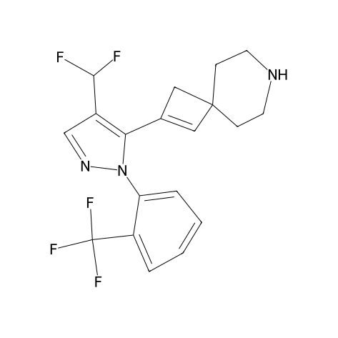 FC(F)c1cnn(-c2ccccc2C(F)(F)F)c1C1=CC2(CCNCC2)C1